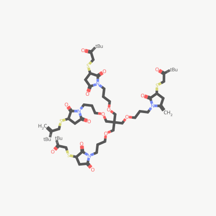 C=C1CC(SCC(=O)C(C)(C)C)C(=O)N1CCCOCC(COCCCN1C(=O)CC(SCC(=C)C(C)(C)C)C1=O)(COCCCN1C(=O)CC(SCC(=O)C(C)(C)C)C1=O)COCCCN1C(=O)CC(SCC(=O)C(C)(C)C)C1=O